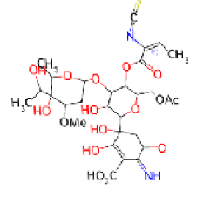 C/C=C(/N=C=S)C(=O)OC1C(COC(C)=O)OC(C2(O)CC(=O)C(=N)C(C(=O)O)=C2O)C(O)C1OC1CC(OC)C(O)(C(C)O)C(C)O1